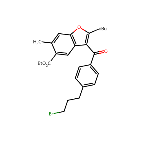 CCCCc1oc2cc(C)c(C(=O)OCC)cc2c1C(=O)c1ccc(CCCBr)cc1